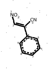 N#CC(=C[N+](=O)[O-])c1ccccc1